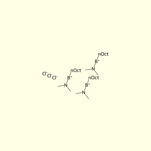 CCCCCCCC[B+]N(C)C.CCCCCCCC[B+]N(C)C.CCCCCCCC[B+]N(C)C.[Cl-].[Cl-].[Cl-]